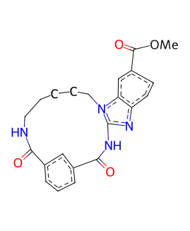 COC(=O)c1ccc2nc3n(c2c1)CCCCCNC(=O)c1cccc(c1)C(=O)N3